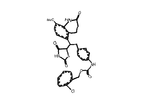 COc1ccc(C(Cc2ccc(NC(=O)OCc3ccccc3Cl)cc2)C2SC(=O)NC2=O)c2c1NC(=O)CC2